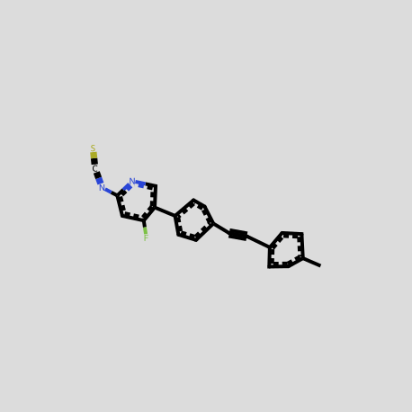 Cc1ccc(C#Cc2ccc(-c3cnc(N=C=S)cc3F)cc2)cc1